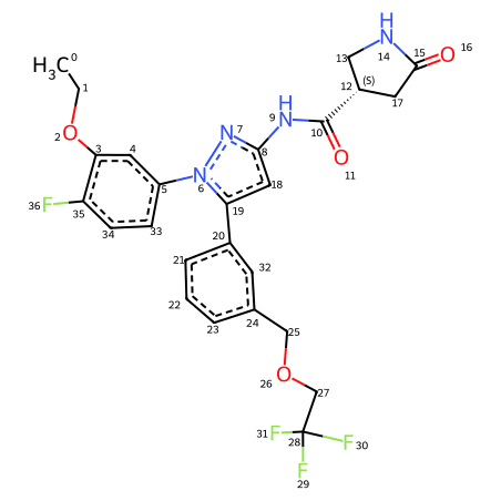 CCOc1cc(-n2nc(NC(=O)[C@@H]3CNC(=O)C3)cc2-c2cccc(COCC(F)(F)F)c2)ccc1F